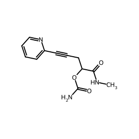 CNC(=O)C(CC#Cc1ccccn1)OC(N)=O